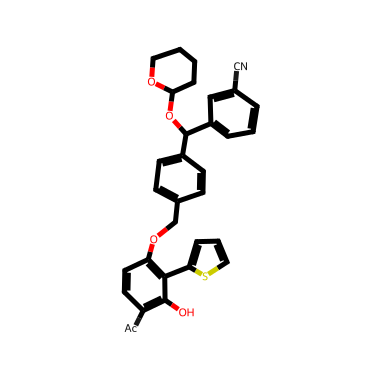 CC(=O)c1ccc(OCc2ccc(C(OC3CCCCO3)c3cccc(C#N)c3)cc2)c(-c2cccs2)c1O